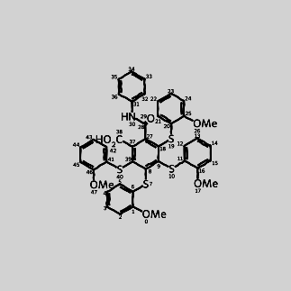 COc1ccccc1Sc1c(Sc2ccccc2OC)c(Sc2ccccc2OC)c(C(=O)Nc2ccccc2)c(C(=O)O)c1Sc1ccccc1OC